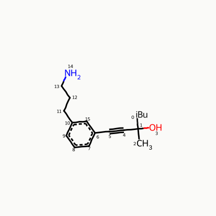 CCC(C)C(C)(O)C#Cc1cccc(CCCN)c1